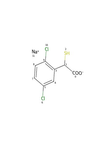 O=C([O-])C(S)c1cc(Cl)ccc1Cl.[Na+]